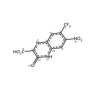 O=C(O)c1nc2cc(C(F)(F)F)c([N+](=O)[O-])cc2[nH]c1=O